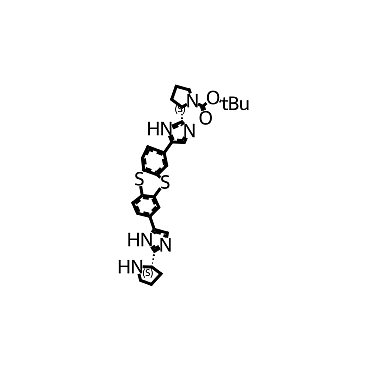 CC(C)(C)OC(=O)N1CCC[C@H]1c1ncc(-c2ccc3c(c2)Sc2cc(-c4cnc([C@@H]5CCCN5)[nH]4)ccc2S3)[nH]1